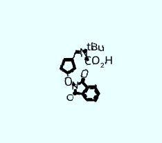 CC(C)(C)N(C[C@@H]1CC[C@@H](ON2C(=O)c3ccccc3C2=O)C1)C(=O)O